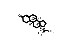 C=C(C)[C@H]1CC[C@H]2[C@@H]3CCC4=CC(=O)CC[C@]4(C)[C@H]3CC[C@]12C